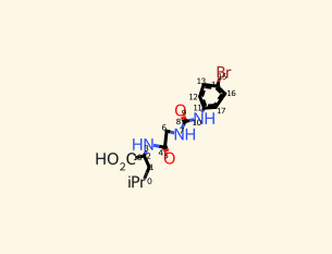 CC(C)CC(NC(=O)CNC(=O)Nc1ccc(Br)cc1)C(=O)O